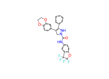 O=C(Nc1ccc2c(c1)C(F)(F)C(F)(F)O2)N1CC(c2ccc3c(c2)OCCO3)=C(c2ccccc2)N1